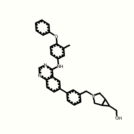 Cc1cc(Nc2ncnc3ccc(-c4cccc(CN5CC6C(CO)C6C5)c4)cc23)ccc1Oc1ccccc1